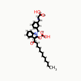 CCCCCCCCCCCC(=O)c1c(OC(=O)O)n(Cc2cccc(/C=C/C(=O)O)c2)c2ccccc12